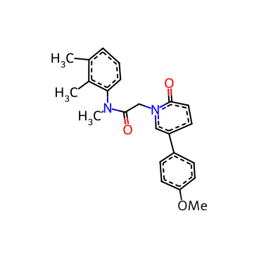 COc1ccc(-c2ccc(=O)n(CC(=O)N(C)c3cccc(C)c3C)c2)cc1